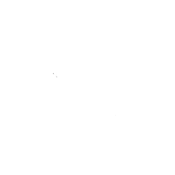 O=[N+]([O-])c1cccc2c1CC(O)C2